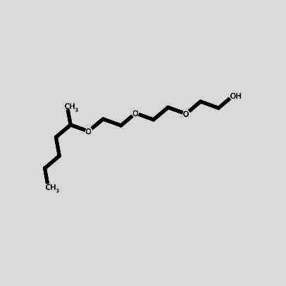 CCCCC(C)OCCOCCOCCO